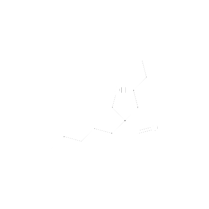 CCCCCC(C=O)(CO)CCCC